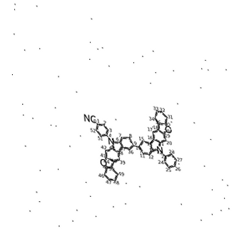 N#Cc1ccc(-n2c3ccc(-c4ccc5c(c4)c4cc6c(cc4n5-c4ccccc4)oc4ccccc46)cc3c3cc4c(cc32)oc2ccccc24)cc1